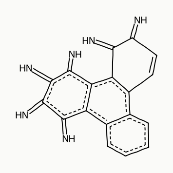 N=C1C=Cc2c(c3c(=N)c(=N)c(=N)c(=N)c3c3ccccc23)C1=N